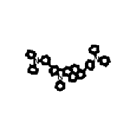 c1ccc(N(c2ccccc2)c2ccc(-c3ccc4ccc5c6c(ccc3c46)cc3c4cc(-c6cccc(N(c7ccccc7)c7ccccc7)c6)ccc4n(-c4ccccc4)c35)cc2)cc1